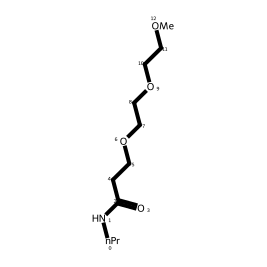 CCCNC(=O)CCOCCOCCOC